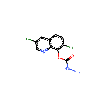 NNC(=O)Oc1c(Cl)ccc2cc(Cl)cnc12